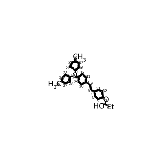 CCC(O)Oc1ccc(C=Cc2ccc(N(c3ccc(C)cc3)c3ccc(C)cc3)cc2)cc1